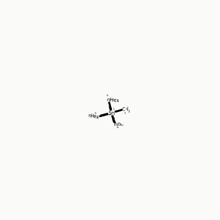 CCCCC[CH2][Sn]([CH3])([CH2]CCC)[CH2]CCCCC